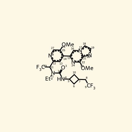 CCN(C(=O)NC1CC(CC(F)(F)F)C1)C(c1cc(-c2cn3ccnc3c(OC)n2)c(OC)cn1)C(F)(F)F